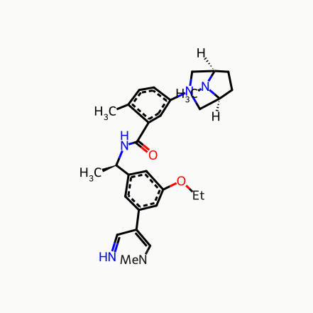 CCOc1cc(/C(C=N)=C/NC)cc([C@@H](C)NC(=O)c2cc(N3C[C@H]4CC[C@@H](C3)N4C)ccc2C)c1